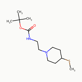 CSC1CCN(CCNC(=O)OC(C)(C)C)CC1